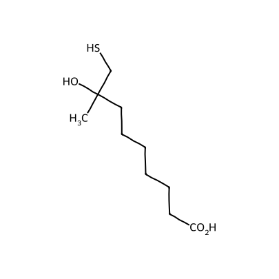 CC(O)(CS)CCCCCCC(=O)O